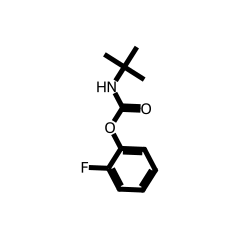 CC(C)(C)NC(=O)Oc1ccccc1F